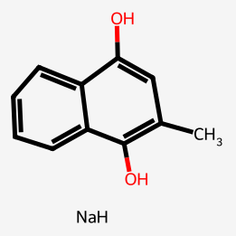 Cc1cc(O)c2ccccc2c1O.[NaH]